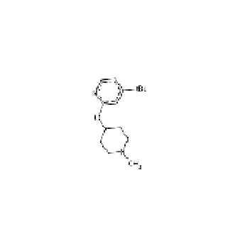 CN1CCC(Oc2cc(C(C)(C)C)ccn2)CC1